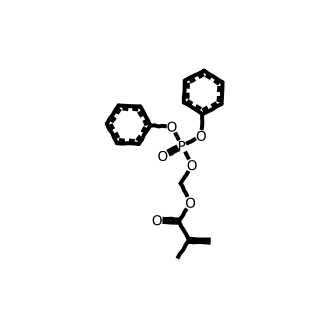 C=C(C)C(=O)OCOP(=O)(Oc1ccccc1)Oc1ccccc1